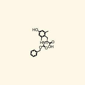 Cc1cc(O)cc(C)c1C[C@H](NC(=O)OCc1ccccc1)C(=O)O